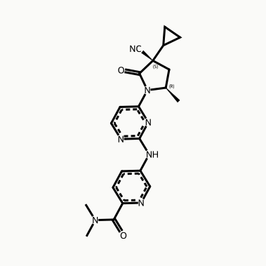 C[C@@H]1C[C@@](C#N)(C2CC2)C(=O)N1c1ccnc(Nc2ccc(C(=O)N(C)C)nc2)n1